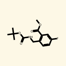 COC(=O)c1cc(F)ccc1CNC(=O)OC(C)(C)C